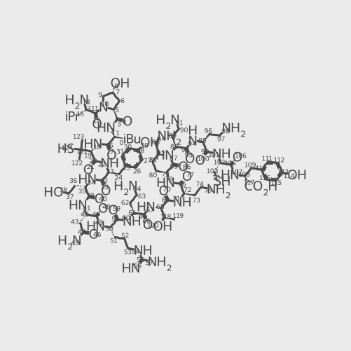 CC[C@H](C)[C@H](NC(=O)[C@@H]1C[C@@H](O)CN1C(=O)[C@@H](N)C(C)C)C(=O)N[C@H](C(=O)N[C@@H](Cc1ccc(O)cc1)C(=O)N[C@@H](CCO)C(=O)N[C@@H](CC(N)=O)C(=O)N[C@@H](CCCNC(=N)N)C(=O)N[C@@H](CCN)C(=O)N[C@H](C(=O)N[C@H](CCN)C(=O)N[C@@H](CCCCN)C(=O)N[C@@H](CCN)C(=O)N[C@@H](CCN)C(=O)N[C@@H](CS)C(=O)N[C@@H](Cc1ccc(O)cc1)C(=O)O)[C@@H](C)O)C(C)(C)S